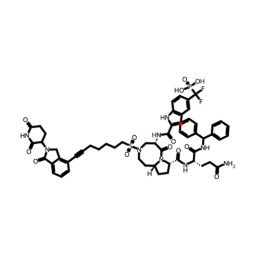 NC(=O)CC[C@H](NC(=O)[C@@H]1CC[C@@H]2CCN(S(=O)(=O)CCCCCC#Cc3cccc4c3CN(C3CCC(=O)NC3=O)C4=O)C[C@H](NC(=O)c3cc4cc(C(F)(F)P(=O)(O)O)ccc4[nH]3)C(=O)N21)C(=O)NC(c1ccccc1)c1ccccc1